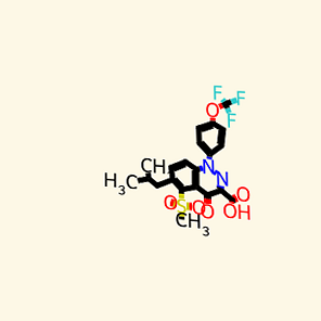 CC(C)Cc1ccc2c(c1S(C)(=O)=O)c(=O)c(C(=O)O)nn2-c1ccc(OC(F)(F)F)cc1